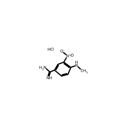 CNc1ccc(C(=N)N)cc1[N+](=O)[O-].Cl